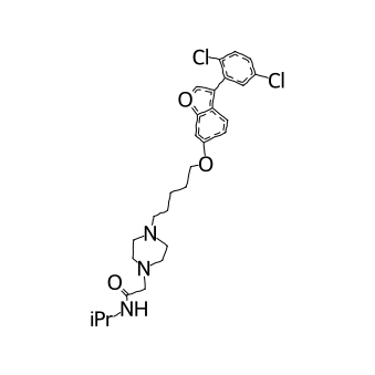 CC(C)NC(=O)CN1CCN(CCCCCOc2ccc3c(-c4cc(Cl)ccc4Cl)coc3c2)CC1